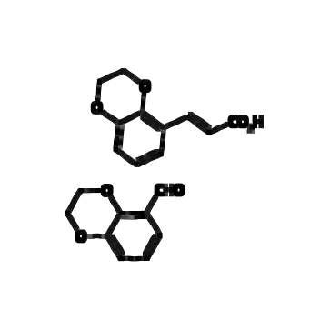 O=C(O)/C=C/c1cccc2c1OCCO2.O=Cc1cccc2c1OCCO2